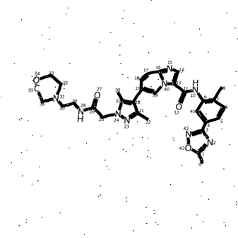 Cc1nc(-c2ccc(C)c(NC(=O)c3cnc4ccc(-c5c(C)nn(CC(=O)NCCN6CCOCC6)c5C)cn34)c2)no1